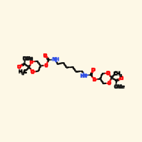 COC(=O)C1(C)OCC(OC(=O)NCCCCCCNC(=O)OC2COC(C)(C(=O)OC)OC2)CO1